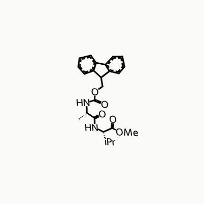 COC(=O)[C@@H](NC(=O)[C@H](C)NC(=O)OCC1c2ccccc2-c2ccccc21)C(C)C